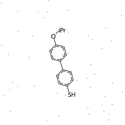 CC(C)Oc1ccc(-c2ccc(S)cc2)cc1